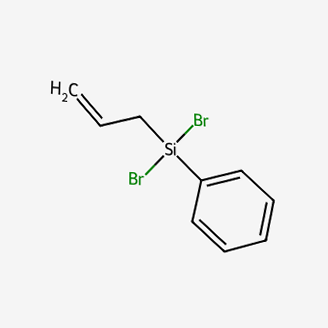 C=CC[Si](Br)(Br)c1ccccc1